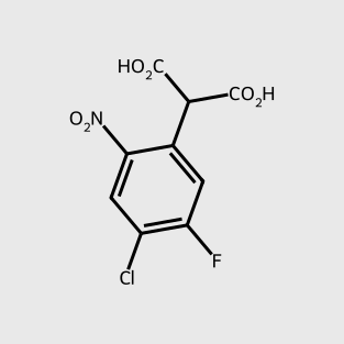 O=C(O)C(C(=O)O)c1cc(F)c(Cl)cc1[N+](=O)[O-]